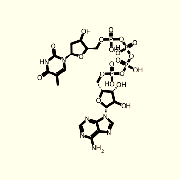 Cc1cn([C@H]2CC(O)[C@@H](COP(=O)(O)OP(=O)(O)OP(=O)(O)OP(=O)(O)OC[C@H]3O[C@@H](n4cnc5c(N)ncnc54)C(O)[C@H]3O)O2)c(=O)[nH]c1=O